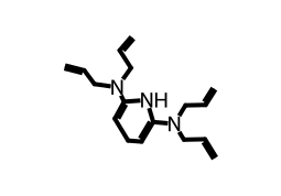 C=CCN(CC=C)C1=CCC=C(N(CC=C)CC=C)N1